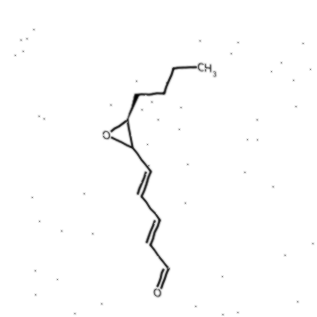 CCCC[C@@H]1OC1C=CC=CC=O